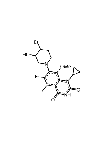 CCC1CCN(c2c(F)c(C)c3c(=O)[nH]c(=O)n(C4CC4)c3c2OC)CC1O